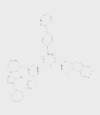 c1ccc(-c2ccc(-c3nc(-c4ccc5c(c4)-c4ccccc4C54c5ccccc5-c5ccccc5-c5ccccc54)nc(-c4ccc5c(c4)oc4ccccc45)n3)cc2)cc1